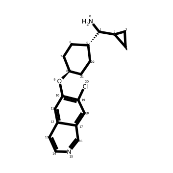 NC(C1CC1)[C@H]1CC[C@H](Oc2cc3ccncc3cc2Cl)CC1